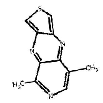 Cc1cnc(C)c2nc3cscc3nc12